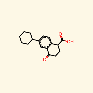 O=C1CCC(C(=O)O)c2ccc(C3CCCCC3)cc21